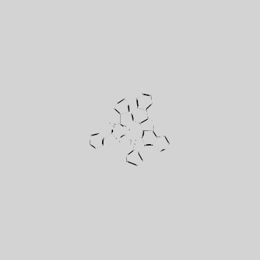 c1ccc(-c2nc(-c3ccccc3)nc(-n3c4ccccc4c4c5ccccc5c5sc6c7ccccc7ccc6c5c43)n2)cc1